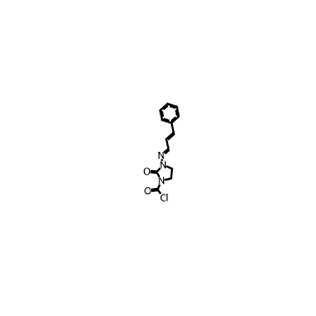 O=C(Cl)N1CCN(N=CC=Cc2ccccc2)C1=O